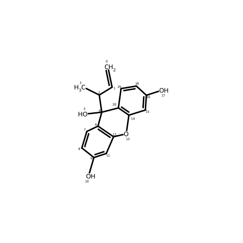 C=CC(C)C1(O)c2ccc(O)cc2Oc2cc(O)ccc21